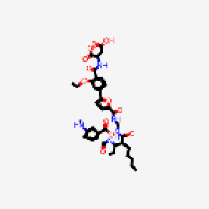 CCCCCC(C(=O)NCNC(=O)c1ccc(-c2ccc(C(=O)NC(CC(=O)O)C(=O)O)c(OCC)c2)o1)C(CC)N(C=O)OC(=O)c1cccc(NC)c1